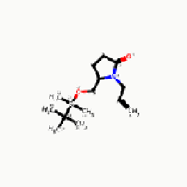 C=CCN1C(=O)CCC1CO[Si](C)(C)C(C)(C)C